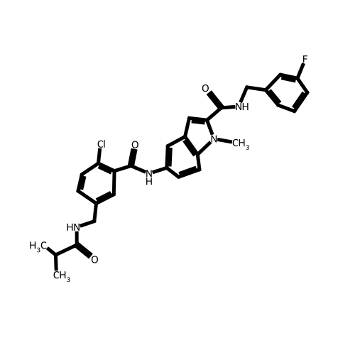 CC(C)C(=O)NCc1ccc(Cl)c(C(=O)Nc2ccc3c(c2)cc(C(=O)NCc2cccc(F)c2)n3C)c1